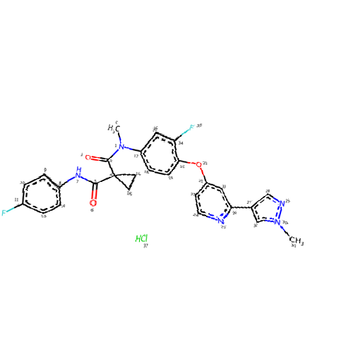 CN(C(=O)C1(C(=O)Nc2ccc(F)cc2)CC1)c1ccc(Oc2ccnc(-c3cnn(C)c3)c2)c(F)c1.Cl